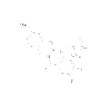 COc1ccc(Cn2c(=O)c3cc(F)c(Cl)cc3n(CC(C)(C)O)c2=O)cc1